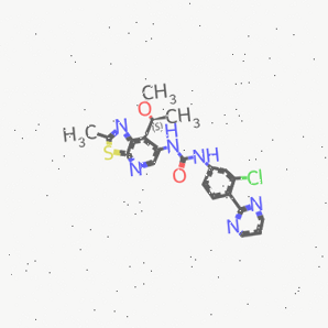 CO[C@@H](C)c1c(NC(=O)Nc2ccc(-c3ncccn3)c(Cl)c2)cnc2sc(C)nc12